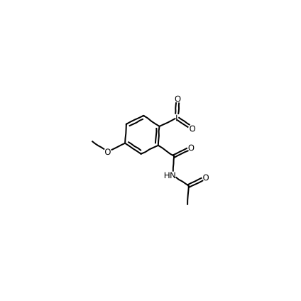 COc1ccc(I(=O)=O)c(C(=O)NC(C)=O)c1